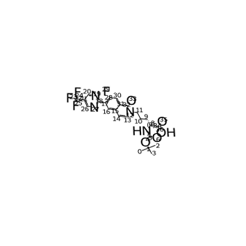 CC(C)(C)OC(=O)N[C@H](CCCn1ccc2cc(-c3ncc(C(F)(F)F)cn3)c(F)cc2c1=O)C(=O)O